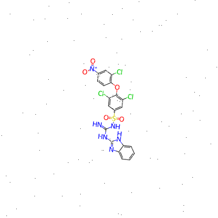 N=C(Nc1nc2ccccc2[nH]1)NS(=O)(=O)c1cc(Cl)c(Oc2ccc([N+](=O)[O-])cc2Cl)c(Cl)c1